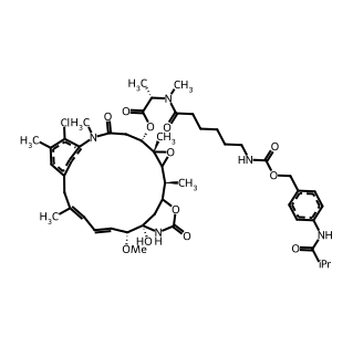 CO[C@@H]1/C=C/C=C(\C)Cc2cc(C)c(Cl)c(c2)N(C)C(=O)C[C@H](OC(=O)[C@H](C)N(C)C(=O)CCCCCNC(=O)OCc2ccc(NC(=O)C(C)C)cc2)[C@]2(C)OC2[C@@H](C)C2C[C@@]1(O)NC(=O)O2